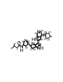 CC(C)CC(=O)Nc1cncc(-c2ccc3[nH]nc(-c4cc5c(N6CCCCC6)cncc5[nH]4)c3n2)c1